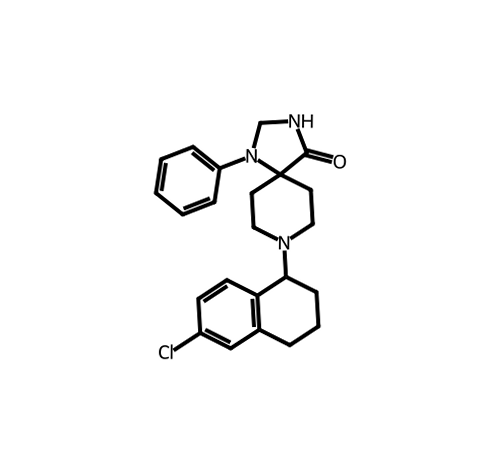 O=C1NCN(c2ccccc2)C12CCN(C1CCCc3cc(Cl)ccc31)CC2